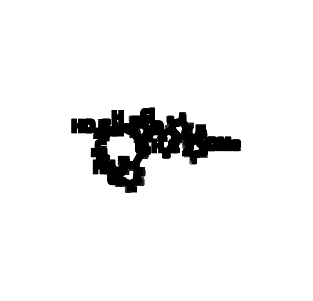 COc1cccc(-c2cccc(COc3cc4c(cc3Cl)CNC(C(=O)O)CCCCNC(=O)C3=C\CC\C=C/C(=C\3)CO4)c2C)c1F